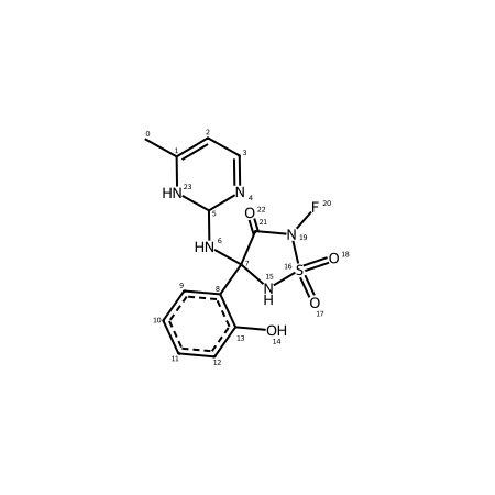 CC1=CC=NC(NC2(c3ccccc3O)NS(=O)(=O)N(F)C2=O)N1